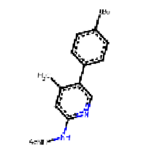 CC(=O)NNc1cc(C)c(-c2ccc(C(C)(C)C)cc2)cn1